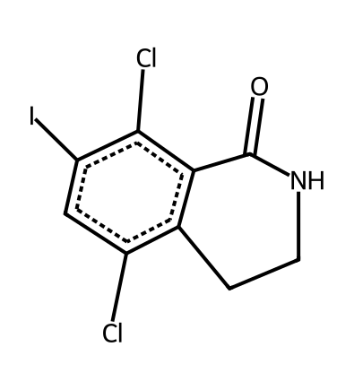 O=C1NCCc2c(Cl)cc(I)c(Cl)c21